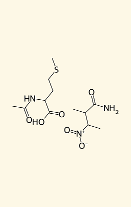 CC(C(N)=O)C(C)[N+](=O)[O-].CSCCC(NC(C)=O)C(=O)O